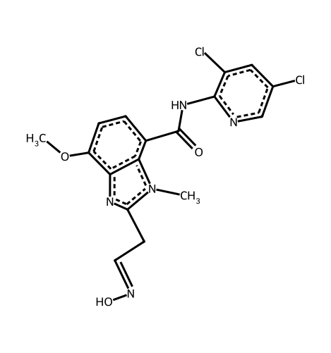 COc1ccc(C(=O)Nc2ncc(Cl)cc2Cl)c2c1nc(CC=NO)n2C